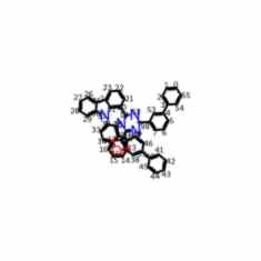 c1ccc(-c2cccc(-c3nc(-c4ccccc4)nc(-c4cccc5c6ccccc6n(-c6ccc7oc8cc(-c9ccccc9)ccc8c7c6)c45)n3)c2)cc1